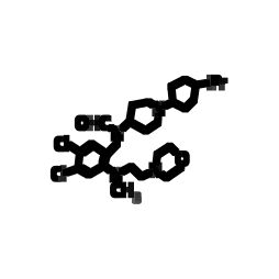 CC(C)C1CCC(N2CCC(N(C=O)Cc3cc(Cl)c(Cl)cc3N(C)CCN3CCOCC3)CC2)CC1